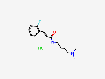 CN(C)CCCCNC(=O)C=Cc1ccccc1F.Cl